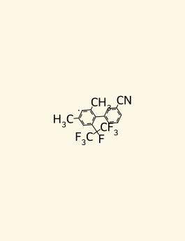 Cc1[c]c(C)c(-c2cccc(C#N)c2)c(C(F)(C(F)(F)F)C(F)(F)F)c1